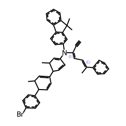 C#C/C(=C\C=C(/C)c1ccccc1)N(C1=CC(C)C(C2=CC(C)C(c3ccc(Br)cc3)C=C2)C=C1)c1ccc2c(c1)C(C)(C)c1ccccc1-2